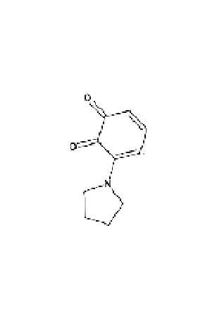 O=C1C=C[C]=C(N2CCCC2)C1=O